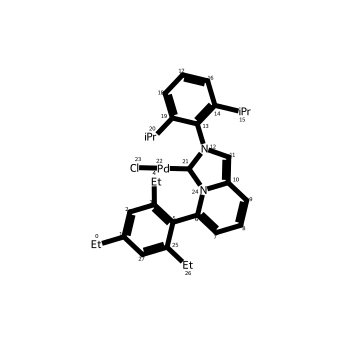 CCc1cc(CC)c(C2=CC=CC3=CN(c4c(C(C)C)cccc4C(C)C)[CH]([Pd][Cl])N32)c(CC)c1